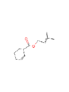 CC(C)=CCOC(=O)C1C=CCCC1